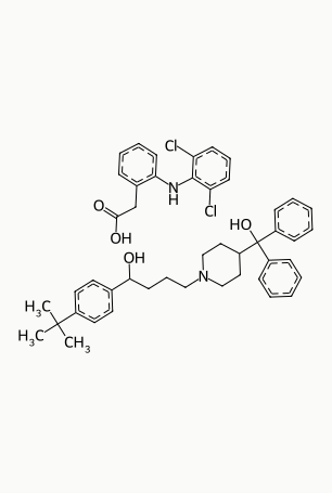 CC(C)(C)c1ccc(C(O)CCCN2CCC(C(O)(c3ccccc3)c3ccccc3)CC2)cc1.O=C(O)Cc1ccccc1Nc1c(Cl)cccc1Cl